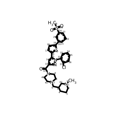 CN1CCCC(CN2CCN(C(=O)c3cc(-c4ccc(-c5cccc(S(C)(=O)=O)c5)s4)n(-c4ccccc4Cl)n3)CC2)C1